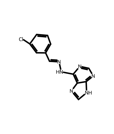 Clc1cccc(/C=N/Nc2ncnc3[nH]cnc23)c1